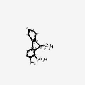 Nc1ccc2c(c1S(=O)(=O)O)C(S(=O)(=O)O)c1ccccc1-2